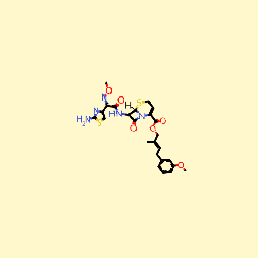 CO/N=C(\C(=O)NC1C(=O)N2C(C(=O)OC/C(C)=C/Cc3cccc(OC)c3)=CCS[C@H]12)c1csc(N)n1